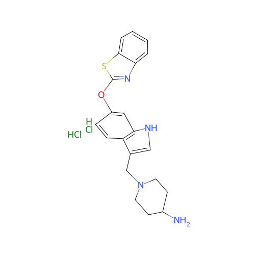 Cl.Cl.NC1CCN(Cc2c[nH]c3cc(Oc4nc5ccccc5s4)ccc23)CC1